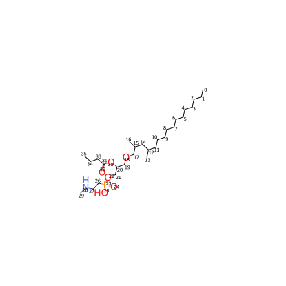 CCCCCCCCCCCCC(C)CC(C)COCC(COP(=O)(O)CCNC)OC(=O)CCC